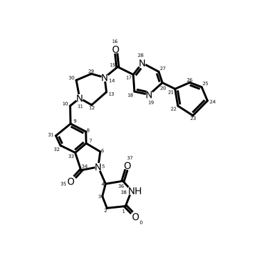 O=C1CCC(N2Cc3cc(CN4CCN(C(=O)c5cnc(-c6ccccc6)cn5)CC4)ccc3C2=O)C(=O)N1